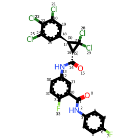 O=C(Nc1ccc(F)cc1)c1cc(NC(=O)[C@@H]2[C@@H](c3cc(Cl)c(Cl)c(Cl)c3)C2(Cl)Cl)ccc1F